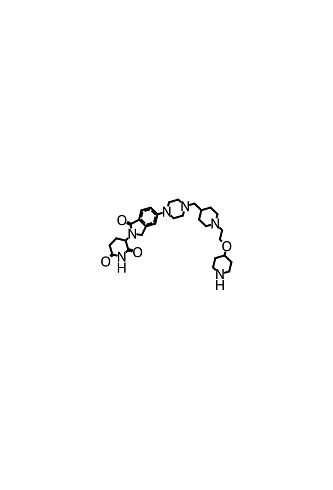 O=C1CCC(N2Cc3cc(N4CCN(CC5CCN(CCOC6CCNCC6)CC5)CC4)ccc3C2=O)C(=O)N1